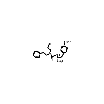 COc1ccc(C[C@H](NC(=O)N(CCO)CCc2ccccc2)C(=O)O)cc1